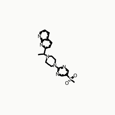 CC(c1ccc2cccnc2n1)N1CCN(c2ncc(S(C)(=O)=O)cn2)CC1